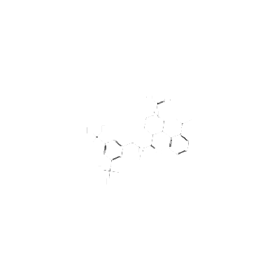 CC(C)c1ccccc1C1CN(C(=O)O)CCC1C(=O)N(C)Cc1cc(C(F)(F)F)cc(C(F)(F)F)c1